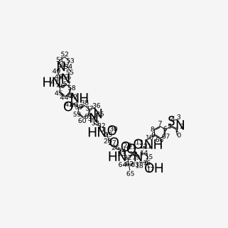 Cc1ncsc1-c1ccc(CNC(=O)[C@@H]2C[C@@H](O)CN2C(=O)C(NC(=O)COCC(=O)NCCn2ncc3cc(C(=O)Nc4ccc5[nH]c(CN6CCCC6C)nc5c4)ccc32)C(C)(C)C)cc1